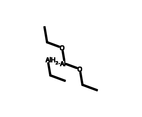 CC[O][Al][O]CC.C[CH2][AlH2]